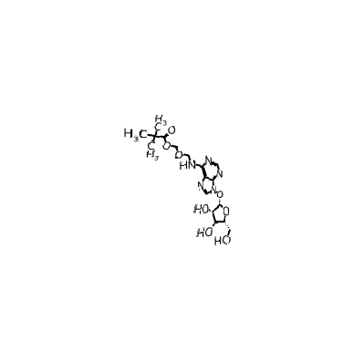 CC(C)(C)C(=O)OCOCNc1ncnc2c1ncn2O[C@@H]1O[C@H](CO)[C@@H](O)[C@@H]1O